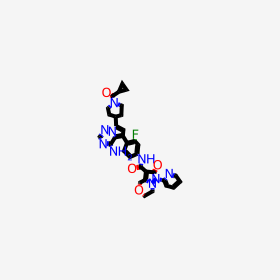 Nc1ncnn2c(C3CCN(C(=O)C4CC4)CC3)cc(-c3ccc(NC(=O)c4c5n(n(-c6ccccn6)c4=O)CCOC5)cc3F)c12